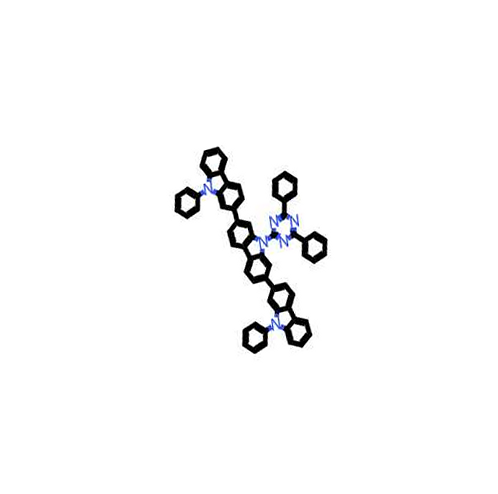 c1ccc(-c2nc(-c3ccccc3)nc(-n3c4cc(-c5ccc6c7ccccc7n(-c7ccccc7)c6c5)ccc4c4ccc(-c5ccc6c7ccccc7n(-c7ccccc7)c6c5)cc43)n2)cc1